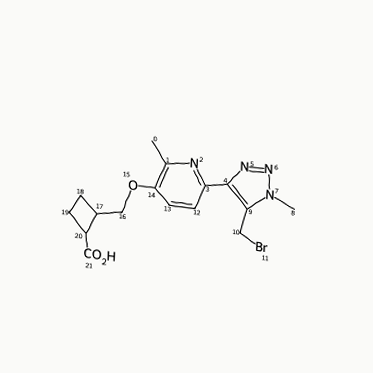 Cc1nc(-c2nnn(C)c2CBr)ccc1OCC1CCC1C(=O)O